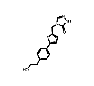 O=c1[nH]ncn1Cc1ccc(-c2ccc(CCO)cc2)s1